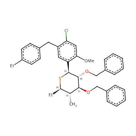 CCc1ccc(Cc2cc([C@@H]3S[C@H](CC)[C@@H](C)[C@H](OCc4ccccc4)[C@H]3OCc3ccccc3)c(OC)cc2Cl)cc1